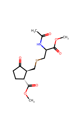 COC(=O)C(CSC[C@@H]1C(=O)CC[C@H]1C(=O)OC)NC(C)=O